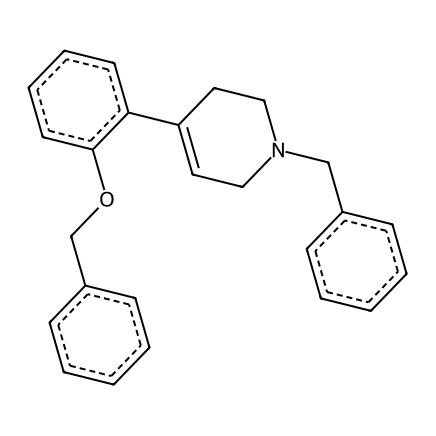 C1=C(c2ccccc2OCc2ccccc2)CCN(Cc2ccccc2)C1